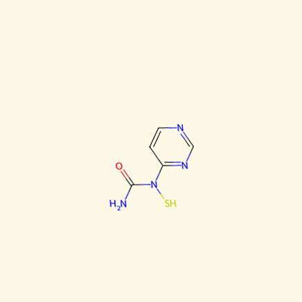 NC(=O)N(S)c1ccncn1